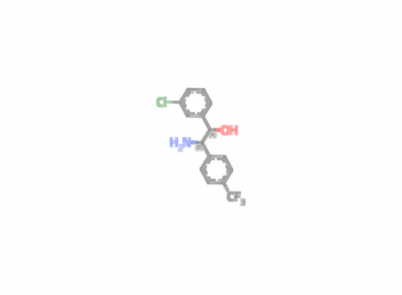 N[C@H](c1ccc(C(F)(F)F)cc1)[C@H](O)c1cccc(Cl)c1